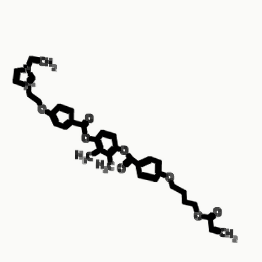 C=CC(=O)OCCCCOc1ccc(C(=O)Oc2ccc(OC(=O)c3ccc(OCC[n+]4ccn(C=C)c4)cc3)c(C)c2C)cc1